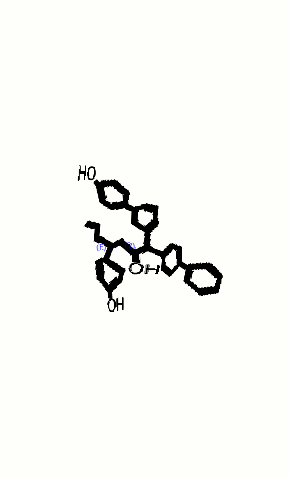 C=C/C=C(\C=C(/O)C(c1ccc(-c2ccccc2)cc1)c1cccc(-c2ccc(O)cc2)c1)c1ccc(O)cc1